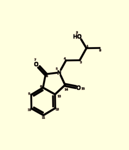 CC(O)CCN1C(=O)c2ccccc2C1=O